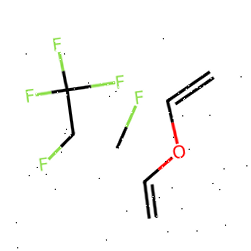 C=COC=C.CF.FCC(F)(F)F